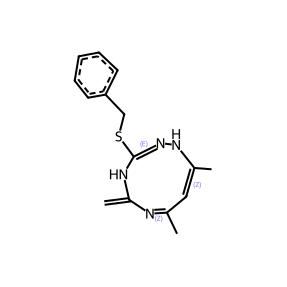 C=C1/N=C(C)\C=C(\C)N/N=C(/SCc2ccccc2)N1